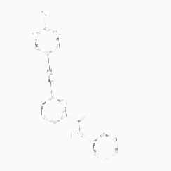 Nc1ncc(C#Cc2cccc(C(=O)Nc3cccc(C(F)(F)F)c3)n2)cn1